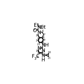 CCN(CC)C(=O)N1CCc2cc(Nc3ncc(C(F)(F)F)c(NC4CC4)n3)ccc2C1